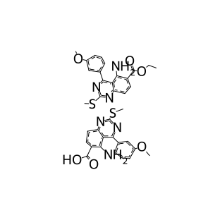 CCOC(=O)c1ccc2nc(SC)nc(-c3cccc(OC)c3)c2c1N.COc1cccc(-c2nc(SC)nc3ccc(C(=O)O)c(N)c23)c1